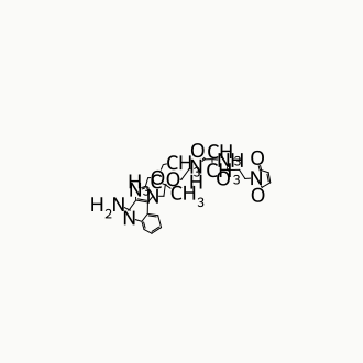 CCOCc1nc2c(N)nc3ccccc3c2n1CC(C)(C)OCCNC(=O)C(C)(C)NC(=O)CCN1C(=O)C=CC1=O